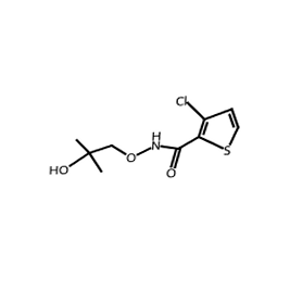 CC(C)(O)CONC(=O)c1sccc1Cl